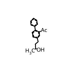 CC(=O)c1cc(CCC(C)O)ccc1-c1ccccc1